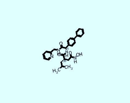 CC(C)C[C@H](CC(=O)NO)C(=O)N[C@H](C(=O)NCc1ccccn1)c1ccc(-c2ccccc2)cc1